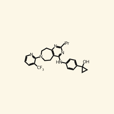 CC(C)c1nc2c(c(Nc3ccc(C4(O)CC4)cc3)n1)CCN(c1ncccc1C(F)(F)F)CC2